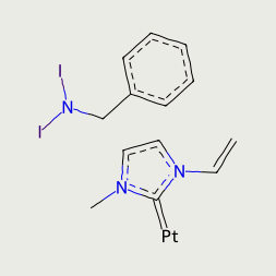 C=Cn1ccn(C)[c]1=[Pt].IN(I)Cc1ccccc1